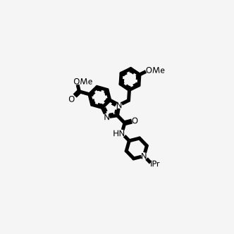 COC(=O)c1ccc2c(c1)nc(C(=O)NC1CCN(C(C)C)CC1)n2Cc1cccc(OC)c1